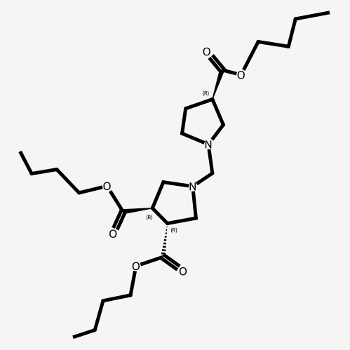 CCCCOC(=O)[C@@H]1CCN(CN2C[C@H](C(=O)OCCCC)[C@@H](C(=O)OCCCC)C2)C1